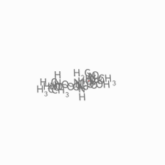 C=C1C[C@H]2[C@H](O)N(C(=O)OCc3ccc(N[C@H](COCCOCCOCCC(=O)N[C@@H](C)C(=O)NC(C)C)N=[N+]=[N-])cc3)c3cc(O)c(OC)cc3C(=O)N2C1